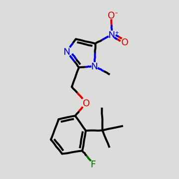 Cn1c([N+](=O)[O-])cnc1COc1cccc(F)c1C(C)(C)C